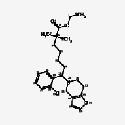 CCOC(=O)C(C)(C)CCCCC(c1ccccc1Cl)N1CCc2occc2C1